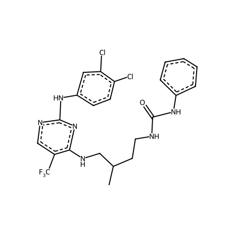 CC(CCNC(=O)Nc1ccccc1)CNc1nc(Nc2ccc(Cl)c(Cl)c2)ncc1C(F)(F)F